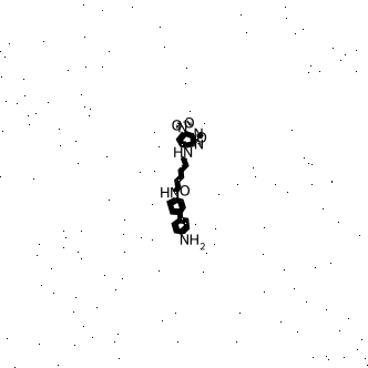 Nc1ccc(-c2ccc(NC(=O)CCCCCNc3ccc([N+](=O)[O-])c4nonc34)cc2)cc1